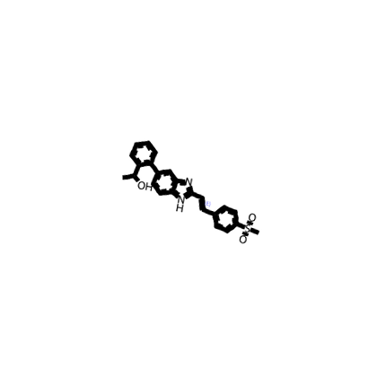 CC(O)c1ccccc1-c1ccc2[nH]c(/C=C/c3ccc(S(C)(=O)=O)cc3)nc2c1